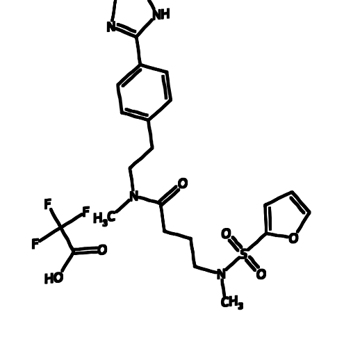 CN(CCc1ccc(C2=NCCN2)cc1)C(=O)CCCN(C)S(=O)(=O)c1ccco1.O=C(O)C(F)(F)F